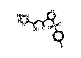 O=C(C=C(O)c1nn[nH]n1)c1cocc1S(=O)(=O)c1ccc(F)cc1